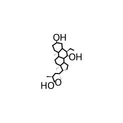 CC[C@@H]1C2C[C@H](O)CC[C@]2(C)C2CC[C@@]3(C)C(CC[C@@H]3[C@H](C)C[C@H](C)C(=O)O)C2[C@H]1O